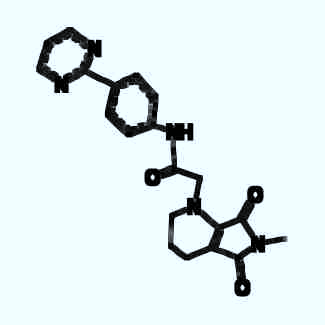 CN1C(=O)C2=C(C1=O)N(CC(=O)Nc1ccc(-c3ncccn3)cc1)CCC2